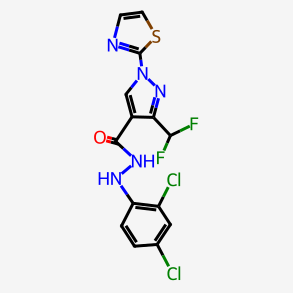 O=C(NNc1ccc(Cl)cc1Cl)c1cn(-c2nccs2)nc1C(F)F